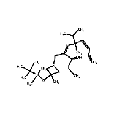 C=C/C=C\C(C)(/N=C(/CN1CC(C)(O[Si](C)(C)C(C)(C)C)C1)C(=N)OC)C(C)C